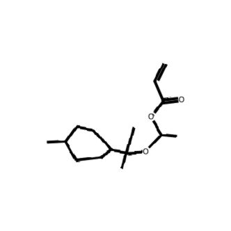 C=CC(=O)OC(C)OC(C)(C)C1CCC(C)CC1